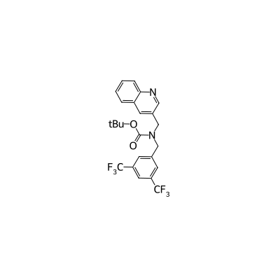 CC(C)(C)OC(=O)N(Cc1cc(C(F)(F)F)cc(C(F)(F)F)c1)Cc1cnc2ccccc2c1